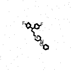 Fc1ccc(C(CCCN2CCC(=NOc3ccccc3)CC2)c2ccc(F)cc2)cc1